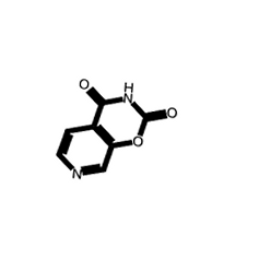 O=c1[nH]c(=O)c2ccncc2o1